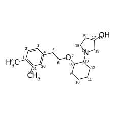 Cc1ccc(CCOC2CCCCC2N2CCC(O)C2)cc1C